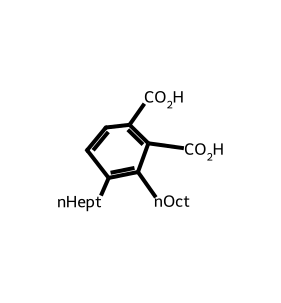 CCCCCCCCc1c(CCCCCCC)ccc(C(=O)O)c1C(=O)O